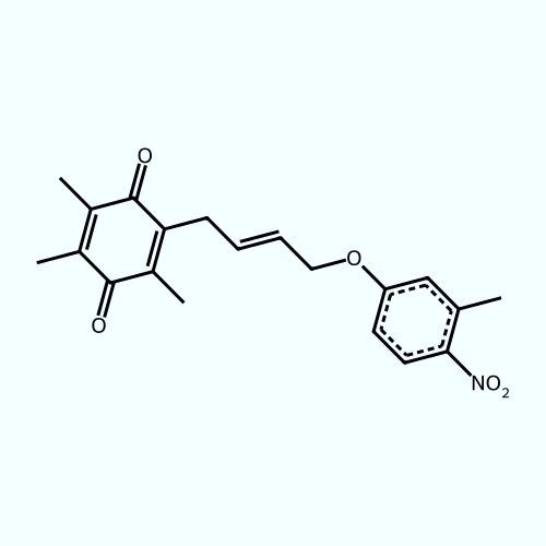 CC1=C(C)C(=O)C(CC=CCOc2ccc([N+](=O)[O-])c(C)c2)=C(C)C1=O